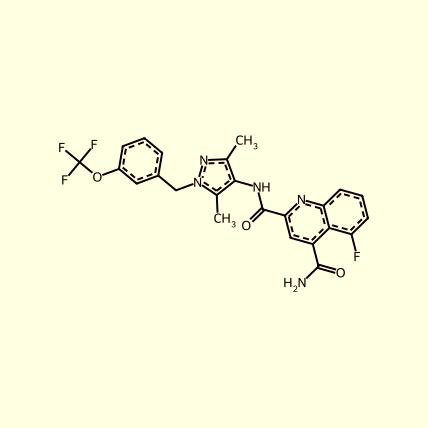 Cc1nn(Cc2cccc(OC(F)(F)F)c2)c(C)c1NC(=O)c1cc(C(N)=O)c2c(F)cccc2n1